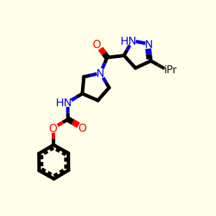 CC(C)C1=NNC(C(=O)N2CCC(NC(=O)Oc3ccccc3)C2)C1